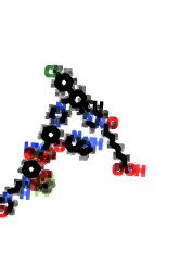 C[C@@]1(CN2CCN(C(=O)CCCCCCC(=O)O)CC2)CCC(c2ccc(Cl)cc2)=C(CN2CCN(c3ccc(C(=O)NS(=O)(=O)c4ccc(NCCCN5CCOCC5)c(S(=O)(=O)C(F)(F)F)c4)c(Oc4cnc5[nH]ccc5c4)c3)CC2)C1